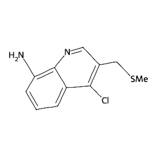 CSCc1cnc2c(N)cccc2c1Cl